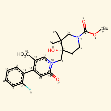 CC(C)(C)OC(=O)N1CC[C@@](O)(Cn2cc(C(=O)O)c(-c3ccccc3F)cc2=O)C(C)(C)C1